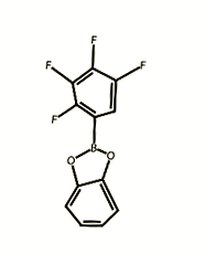 Fc1cc(B2Oc3ccccc3O2)c(F)c(F)c1F